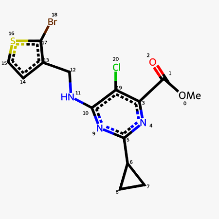 COC(=O)c1nc(C2CC2)nc(NCc2ccsc2Br)c1Cl